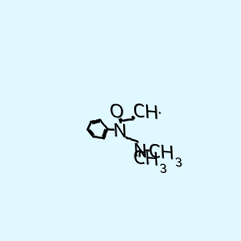 [CH]=CC(=O)N(CCN(C)C)c1ccccc1